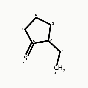 [CH2]CC1CCCC1=S